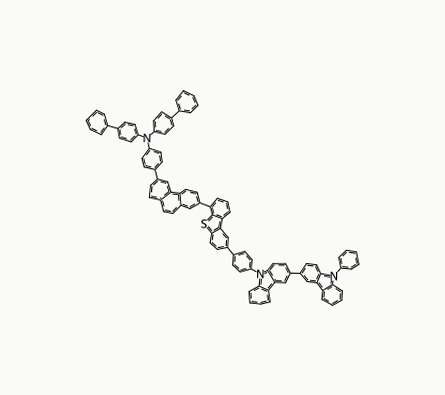 c1ccc(-c2ccc(N(c3ccc(-c4ccccc4)cc3)c3ccc(-c4ccc5ccc6cc(-c7cccc8c7sc7ccc(-c9ccc(-n%10c%11ccccc%11c%11cc(-c%12ccc%13c(c%12)c%12ccccc%12n%13-c%12ccccc%12)ccc%11%10)cc9)cc78)ccc6c5c4)cc3)cc2)cc1